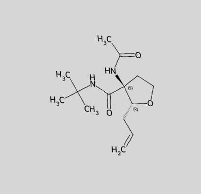 C=CC[C@H]1OCC[C@@]1(NC(C)=O)C(=O)NC(C)(C)C